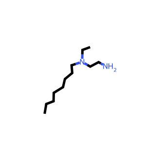 CCCCCCCCN(CC)CCN